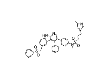 Cc1cn(CCCS(=O)(=O)N(C)c2ccc(-c3cnc4[nH]c5ccc(CS(=O)(=O)c6ccccc6)cc5c4c3-c3ccccc3)cc2)cn1